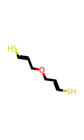 SC=CCOCC=CS